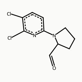 O=CC1CCCN1c1ccc(Cl)c(Cl)n1